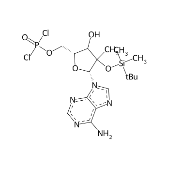 CC1(O[Si](C)(C)C(C)(C)C)C(O)[C@@H](COP(=O)(Cl)Cl)O[C@H]1n1cnc2c(N)ncnc21